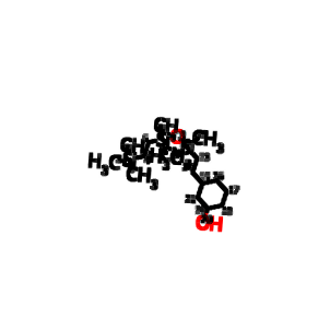 C[Si](C)(C)CC[Si](C)(C)O[Si](C)(C)CCC1CCCC(O)C1